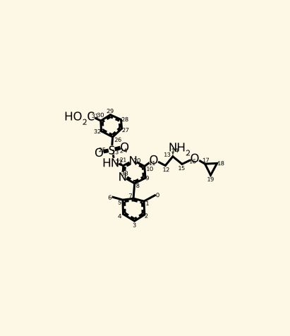 Cc1cccc(C)c1-c1cc(OC[C@H](N)COC2CC2)nc(NS(=O)(=O)c2cccc(C(=O)O)c2)n1